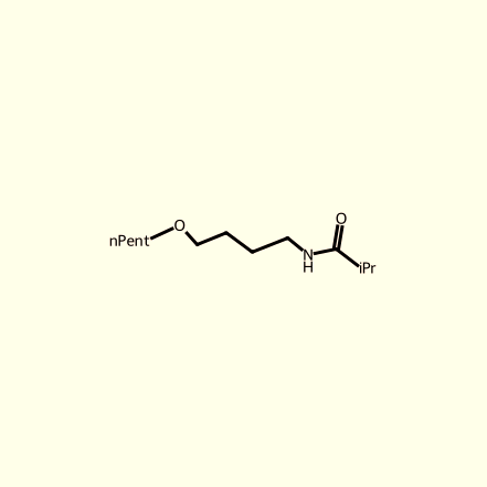 CCCCCOCCCCNC(=O)C(C)C